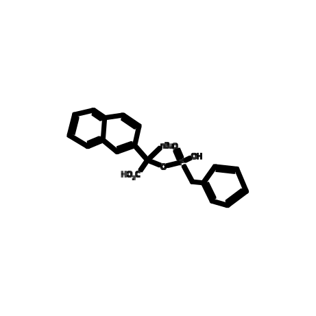 CCCCC(OP(=O)(O)Cc1ccccc1)(C(=O)O)c1ccc2ccccc2c1